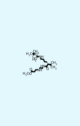 C=C(C)[C@@H](CCCCNC(=O)OC(C)(C)C)C(=O)NCCNCCC(=O)OC